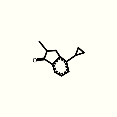 CC1Cc2c(cccc2C2CC2)C1=O